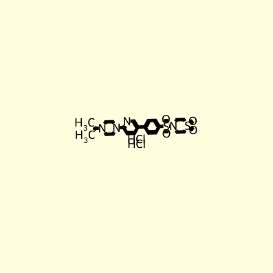 CC(C)N1CCN(c2ccc(-c3ccc(S(=O)(=O)N4CCS(=O)(=O)CC4)cc3)cn2)CC1.Cl.Cl